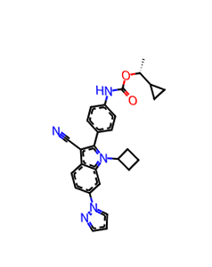 C[C@@H](OC(=O)Nc1ccc(-c2c(C#N)c3ccc(-n4cccn4)cc3n2C2CCC2)cc1)C1CC1